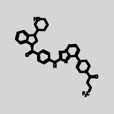 O=C(CCC(F)(F)F)N1CC=C(c2cccn3nc(Nc4ccc(C(=O)N5CC(C6CCCNC6)c6ccccc65)cc4)nc23)CC1